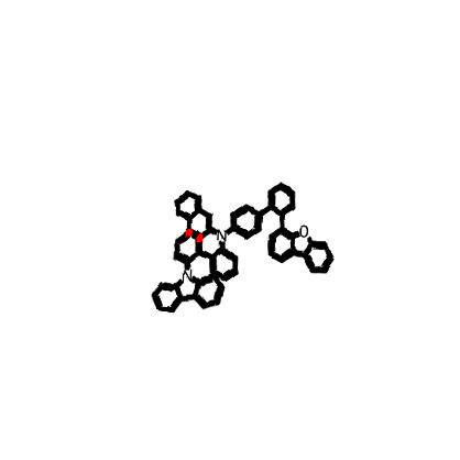 c1ccc(-c2cccc3c2oc2ccccc23)c(-c2ccc(N(c3ccc4ccccc4c3)c3ccccc3-c3ccccc3-n3c4ccccc4c4ccccc43)cc2)c1